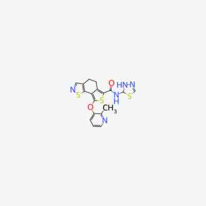 Cc1ncccc1Oc1sc(C(=O)NC2NN=CS2)c2c1-c1sncc1CC2